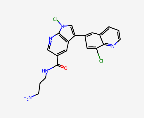 NCCCNC(=O)c1cnc2c(c1)c(-c1cc(Cl)c3ncccc3c1)cn2Cl